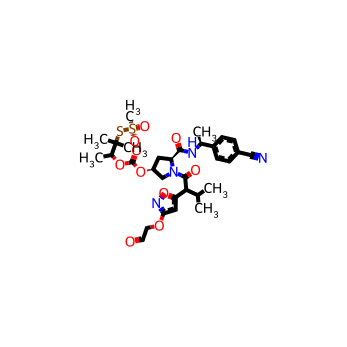 CC(C)C(C(=O)N1C[C@H](OC(=O)OC(C)C(C)(C)SS(C)(=O)=O)C[C@H]1C(=O)N[C@@H](C)c1ccc(C#N)cc1)c1cc(OCC=O)no1